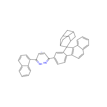 N=C(/C=C\C(=N)c1cccc2ccccc12)c1ccc2c(c1)C1(c3c-2ccc2ccccc32)C2CC3CC(C2)CC1C3